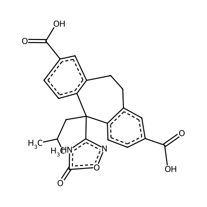 CC(C)CC1(c2noc(=O)[nH]2)c2ccc(C(=O)O)cc2CCc2cc(C(=O)O)ccc21